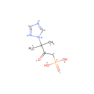 CC(C)(C(=O)CP(=O)(O)O)n1cncn1